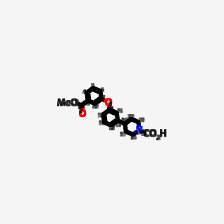 COC(=O)c1cccc(Oc2cccc(C3CCN(C(=O)O)CC3)c2)c1